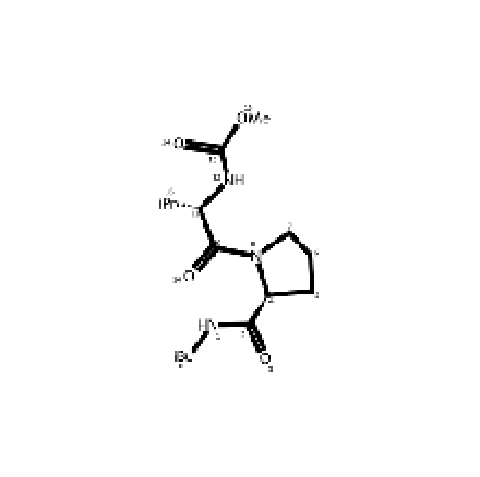 CCC(C)NC(=O)[C@@H]1CCCN1C(=O)[C@@H](NC(=O)OC)C(C)C